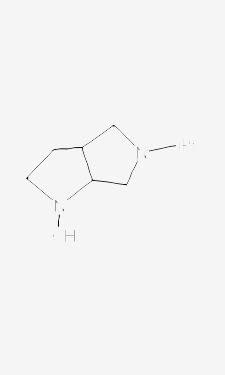 CC(C)N1CC2CCN(C)C2C1